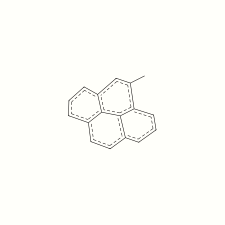 Cc1cc2cccc3ccc4cccc1c4c32